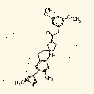 COc1cc(CC(=O)N2CC[C@@]3(CCc4cc(-c5cnn(C)c5)c(C)nc4N3)C2)cc(OC)c1